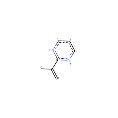 C=C(C)c1ncccn1